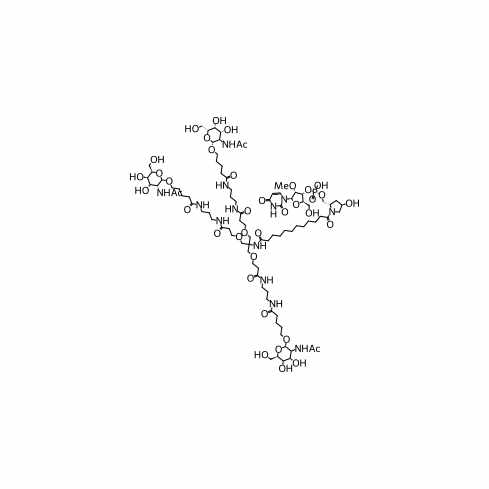 CO[C@@H]1[C@H](OP(=O)(O)OC[C@@H]2C[C@@H](O)CN2C(=O)CCCCCCCCCCC(=O)NC(COCCC(=O)NCCCNC(=O)CCCCO[C@@H]2O[C@H](CO)[C@H](O)[C@H](O)C2NC(C)=O)(COCCC(=O)NCCCNC(=O)CCCCO[C@@H]2O[C@H](CO)[C@H](O)[C@H](O)[C@H]2NC(C)=O)COCCC(=O)NCCCNC(=O)CCCCO[C@@H]2O[C@H](CO)[C@H](O)[C@H](O)[C@H]2NC(C)=O)[C@@H](CO)O[C@H]1n1ccc(=O)[nH]c1=O